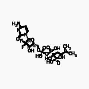 CN(C)CCC(O)(P(=O)(O)O)P(=O)(O)OP(=O)(O)OC[C@H]1O[C@@H](n2ccc(N)nc2=O)C(F)(F)[C@H]1O